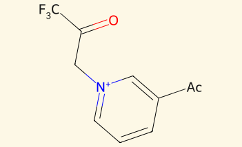 CC(=O)c1ccc[n+](CC(=O)C(F)(F)F)c1